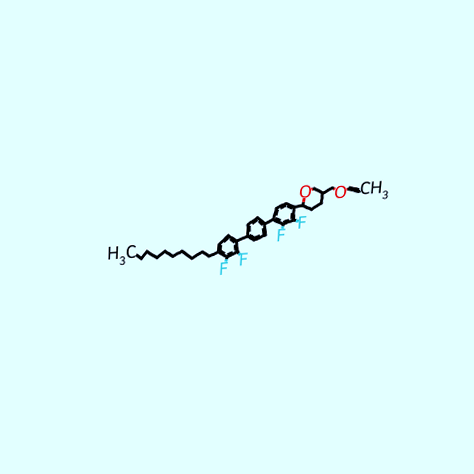 C/C=C/OCC1CCC(c2ccc(-c3ccc(-c4ccc(CCCCCCCCCC)c(F)c4F)cc3)c(F)c2F)OC1